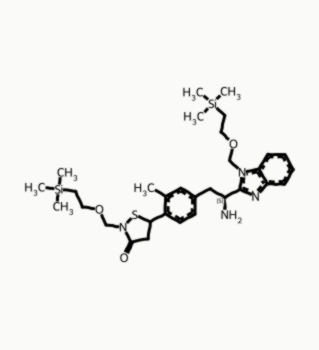 Cc1cc(C[C@H](N)c2nc3ccccc3n2COCC[Si](C)(C)C)ccc1C1CC(=O)N(COCC[Si](C)(C)C)S1